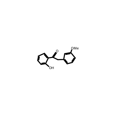 COc1cccc(CC(=O)c2c[c]ccc2O)c1